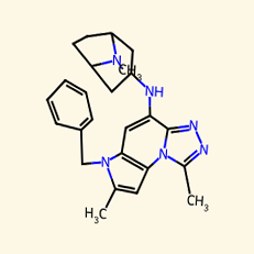 Cc1cc2c(cc(NC3CC4CCC(C3)N4C)c3nnc(C)n32)n1Cc1ccccc1